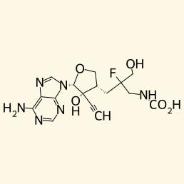 C#C[C@]1(O)[C@@H](CC(F)(CO)CNC(=O)O)CO[C@H]1n1cnc2c(N)ncnc21